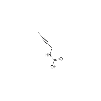 CC#CCNC(=O)O